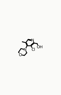 Cc1cnc(CO)c(Cl)c1N1CCOCC1